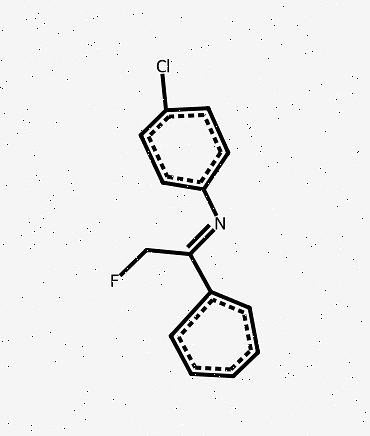 FCC(=Nc1ccc(Cl)cc1)c1ccccc1